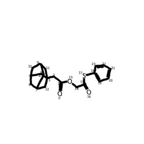 O=C(CC12CC3CC(CC(C3)C1)C2)OCC(=O)Sc1ccccc1